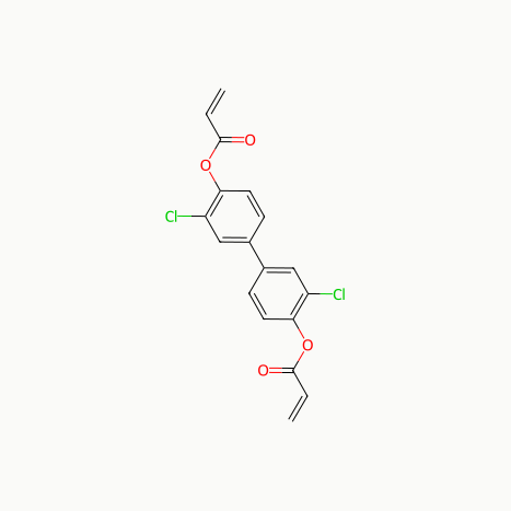 C=CC(=O)Oc1ccc(-c2ccc(OC(=O)C=C)c(Cl)c2)cc1Cl